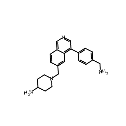 NCc1ccc(-c2cncc3ccc(CN4CCC(N)CC4)cc23)cc1